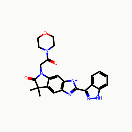 CC1(C)C(=O)N(CC(=O)N2CCOCC2)c2cc3[nH]c(-c4n[nH]c5ccccc45)nc3cc21